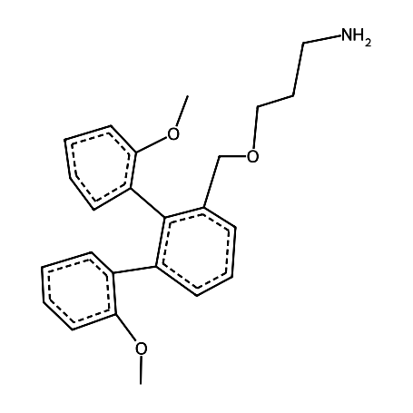 COc1ccccc1-c1cccc(COCCCN)c1-c1ccccc1OC